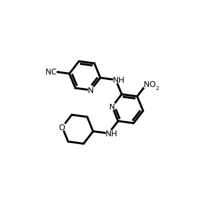 N#Cc1ccc(Nc2nc(NC3CCOCC3)ccc2[N+](=O)[O-])nc1